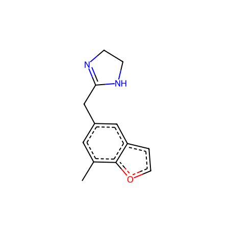 Cc1cc(CC2=NCCN2)cc2ccoc12